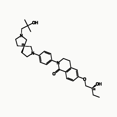 CC[C@H](O)COc1ccc2c(c1)CCN(c1ccc(N3CC[C@]4(CCN(CC(C)(C)O)C4)C3)cc1)C2=O